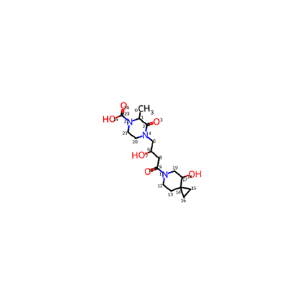 CC1C(=O)N(CC(O)CC(=O)N2CCC3(CC3)C(O)C2)CCN1C(=O)O